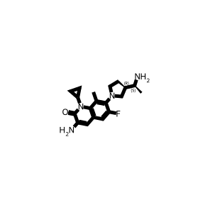 Cc1c(N2CC[C@@H]([C@H](C)N)C2)c(F)cc2cc(N)c(=O)n(C3CC3)c12